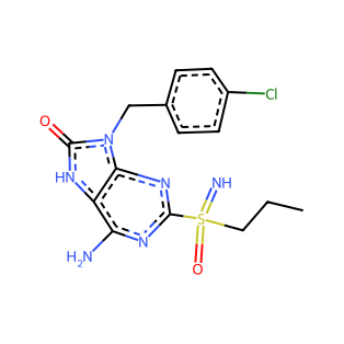 CCCS(=N)(=O)c1nc(N)c2[nH]c(=O)n(Cc3ccc(Cl)cc3)c2n1